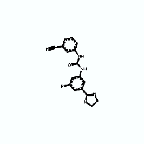 N#Cc1cccc(NC(=O)Nc2cc(F)cc(C3=NCCN3)c2)c1